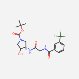 CC(C)(C)OC(=O)N1CC(O)[C@@H](NC(=O)CNC(=O)c2cccc(C(F)(F)F)c2)C1